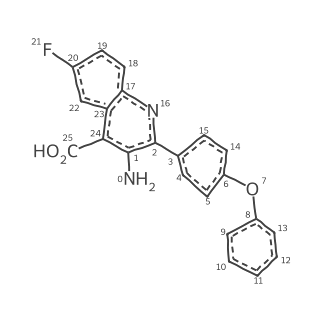 Nc1c(-c2ccc(Oc3ccccc3)cc2)nc2ccc(F)cc2c1C(=O)O